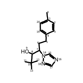 Cc1ccc(CCC(C(O)C(C)(C)C)n2cncn2)cc1